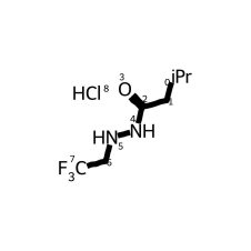 CC(C)CC(=O)NNCC(F)(F)F.Cl